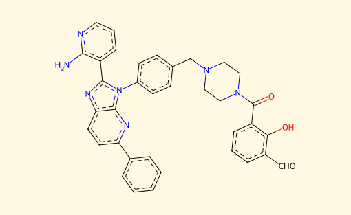 Nc1ncccc1-c1nc2ccc(-c3ccccc3)nc2n1-c1ccc(CN2CCN(C(=O)c3cccc(C=O)c3O)CC2)cc1